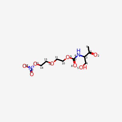 CC(=O)C(CO)NC(=O)OCCOCCO[N+](=O)[O-]